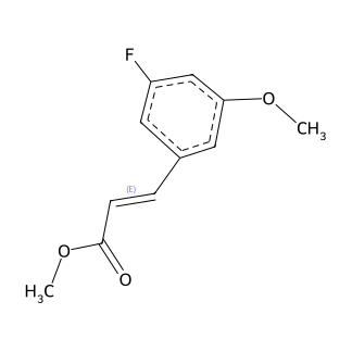 COC(=O)/C=C/c1cc(F)cc(OC)c1